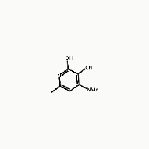 CNc1cc(C)nc(O)c1C#N